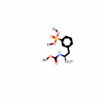 CCOP(=O)(OCC)c1cccc(C[C@H](NC(=O)OC(C)(C)C)C(=O)O)c1